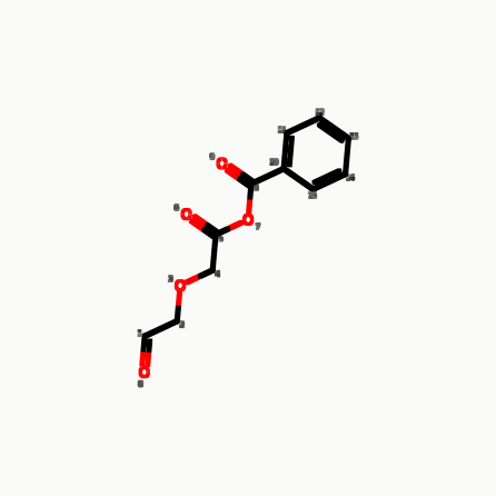 O=CCOCC(=O)OC(=O)c1ccccc1